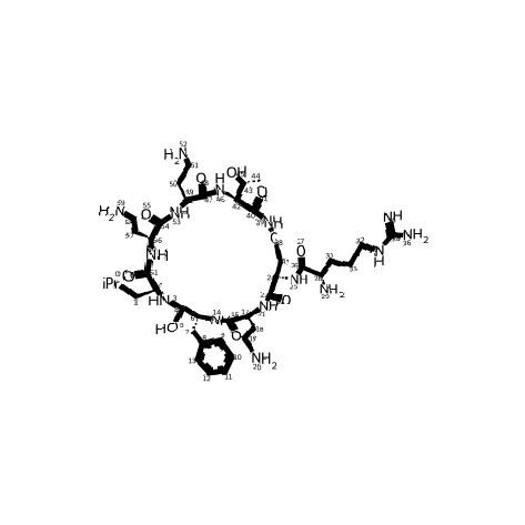 CC(C)C[C@@H]1NC(O)[C@@H](Cc2ccccc2)NC(=O)[C@H](CCN)NC(=O)[C@@H](NC(=O)[C@@H](N)CCCNC(=N)N)CCNC(=O)[C@H]([C@@H](C)O)NC(=O)[C@H](CCN)NC(=O)[C@H](CCN)NC1=O